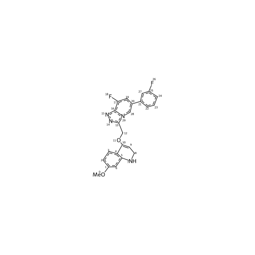 COc1ccc2c(c1)NCC=C2OCc1nnc2c(F)cc(-c3cccc(F)c3)cn12